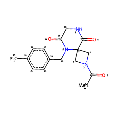 CNC(=O)N1CC2(C1)C(=O)NCC(=O)N2Cc1ccc(C(F)(F)F)cc1